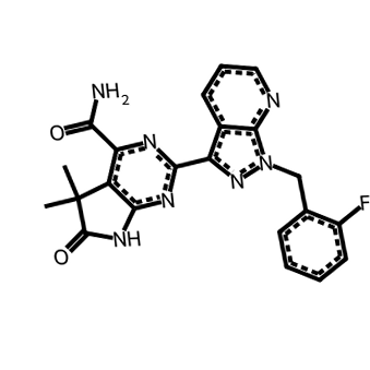 CC1(C)C(=O)Nc2nc(-c3nn(Cc4ccccc4F)c4ncccc34)nc(C(N)=O)c21